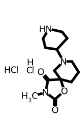 CN1C(=O)OC2(CCCN(C3CCNCC3)C2)C1=O.Cl.Cl